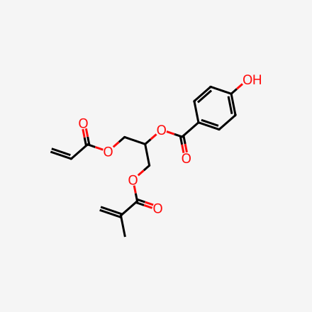 C=CC(=O)OCC(COC(=O)C(=C)C)OC(=O)c1ccc(O)cc1